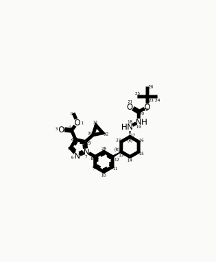 COC(=O)c1cnn(-c2cccc([C@@H]3CCC[C@@H](NNC(=O)OC(C)(C)C)C3)c2)c1C1CC1